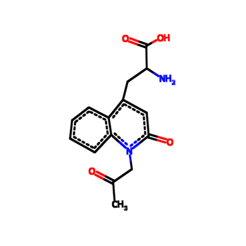 CC(=O)Cn1c(=O)cc(CC(N)C(=O)O)c2ccccc21